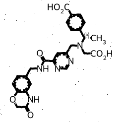 C[C@@H](c1ccc(C(=O)O)cc1)N(CC(=O)O)Cc1cc(C(=O)NCc2ccc3c(c2)NC(=O)CO3)ncn1